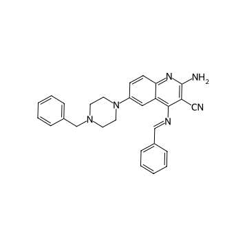 N#Cc1c(N)nc2ccc(N3CCN(Cc4ccccc4)CC3)cc2c1N=Cc1ccccc1